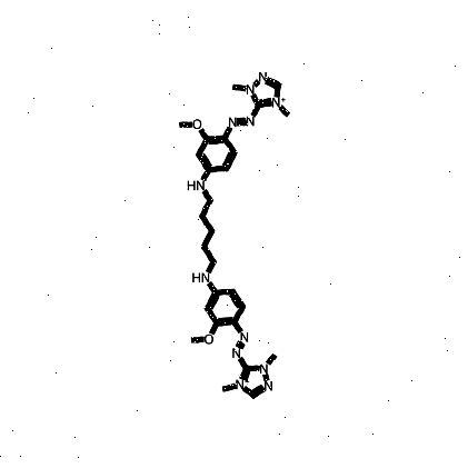 COc1cc(NCCCCCNc2ccc(N=Nc3n(C)nc[n+]3C)c(OC)c2)ccc1N=Nc1n(C)nc[n+]1C